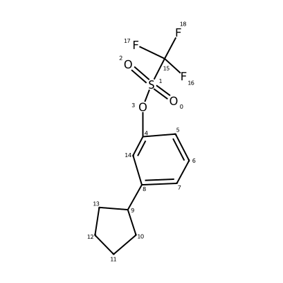 O=S(=O)(Oc1cccc(C2CCCC2)c1)C(F)(F)F